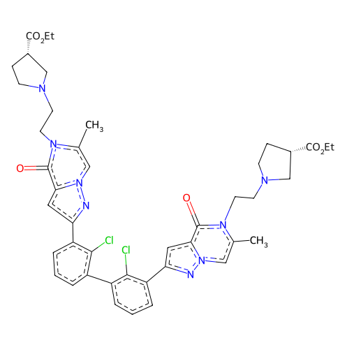 CCOC(=O)[C@H]1CCN(CCn2c(C)cn3nc(-c4cccc(-c5cccc(-c6cc7c(=O)n(CCN8CC[C@H](C(=O)OCC)C8)c(C)cn7n6)c5Cl)c4Cl)cc3c2=O)C1